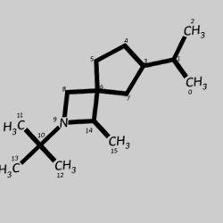 CC(C)C1CCC2(C1)CN(C(C)(C)C)C2C